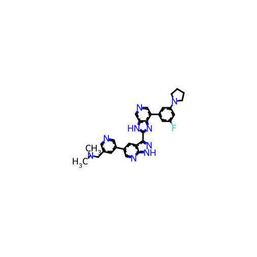 CN(C)Cc1cncc(-c2cnc3[nH]nc(-c4nc5c(-c6cc(F)cc(N7CCCC7)c6)cncc5[nH]4)c3c2)c1